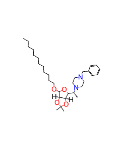 CCCCCCCCCCCCO[C@H]1O[C@H]([C@H](C)N2CCN(Cc3ccccc3)CC2)[C@@H]2OC(C)(C)O[C@H]12